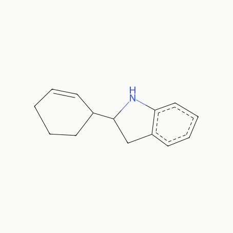 C1=CC(C2Cc3ccccc3N2)CCC1